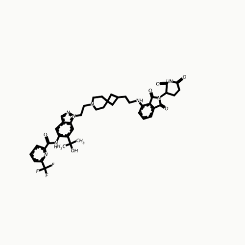 CC(C)(O)c1cc2c(cnn2CCN2CCC3(CC2)CC(CCNc2cccc4c2C(=O)N(C2CCC(=O)NC2=O)C4=O)C3)cc1NC(=O)c1cccc(C(F)(F)F)n1